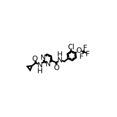 O=C(NCc1ccc(OC(F)(F)F)c(Cl)c1)c1ccnc(NC(=O)C2CC2)n1